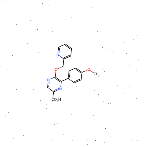 O=C(O)c1cnc(OCc2ccccn2)c(-c2ccc(OC(F)(F)F)cc2)n1